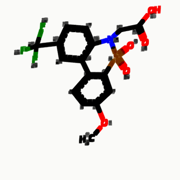 COc1ccc2c(c1)S(=O)(=O)N(CC(=O)O)c1ccc(C(F)(F)F)cc1-2